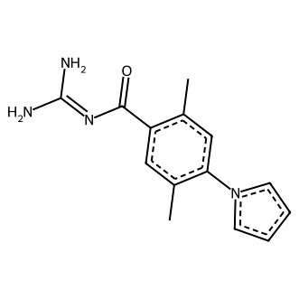 Cc1cc(-n2cccc2)c(C)cc1C(=O)N=C(N)N